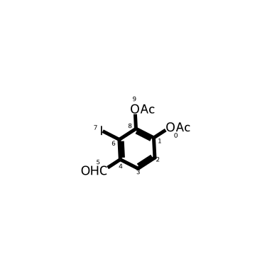 CC(=O)Oc1ccc(C=O)c(I)c1OC(C)=O